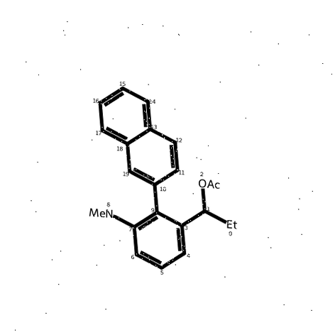 CCC(OC(C)=O)c1cccc(NC)c1-c1ccc2ccccc2c1